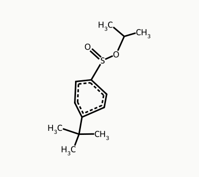 CC(C)OS(=O)c1ccc(C(C)(C)C)cc1